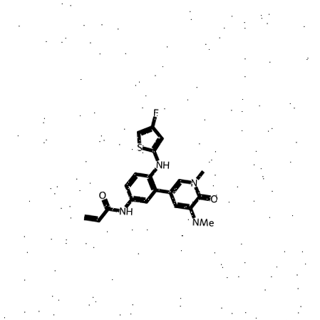 C=CC(=O)Nc1ccc(Nc2cc(F)cs2)c(-c2cc(NC)c(=O)n(C)c2)c1